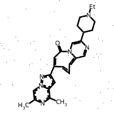 CCN1CCC(C2=CN3C(=O)\C=C(c4cc5c(C)nc(C)cn5n4)/C=C/C=C/3C=N2)CC1